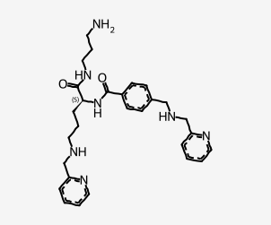 NCCCNC(=O)[C@H](CCCNCc1ccccn1)NC(=O)c1ccc(CNCc2ccccn2)cc1